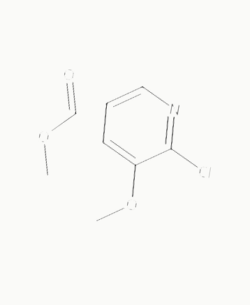 COC=O.COc1cccnc1Cl